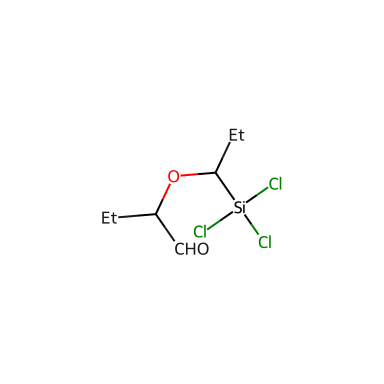 CCC(C=O)OC(CC)[Si](Cl)(Cl)Cl